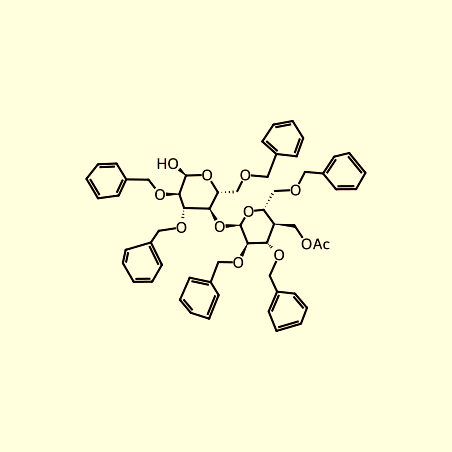 CC(=O)OC[C@H]1[C@H](OCc2ccccc2)[C@@H](OCc2ccccc2)[C@@H](O[C@H]2[C@H](OCc3ccccc3)[C@@H](OCc3ccccc3)[C@@H](O)O[C@@H]2COCc2ccccc2)O[C@@H]1COCc1ccccc1